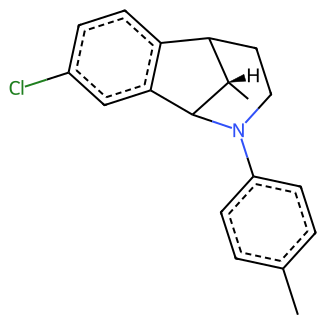 Cc1ccc(N2CCC3c4ccc(Cl)cc4C2[C@H]3C)cc1